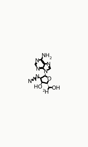 [2H]C(O)[C@H]1O[C@@H](n2cnc3c(N)ncnc32)[C@H](N=[N+]=[N-])[C@@H]1O